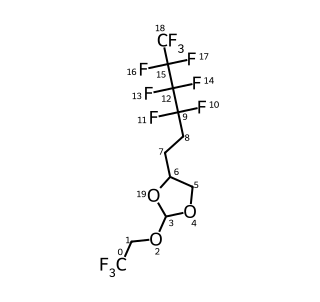 FC(F)(F)COC1OCC(CCC(F)(F)C(F)(F)C(F)(F)C(F)(F)F)O1